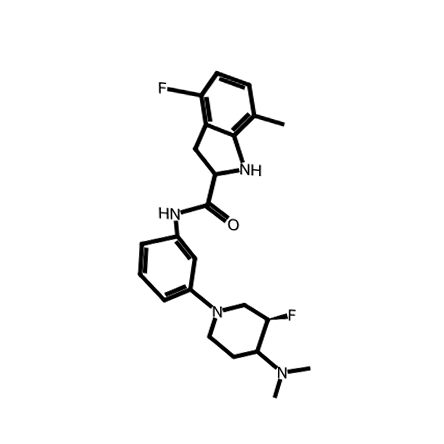 Cc1ccc(F)c2c1NC(C(=O)Nc1cccc(N3CCC(N(C)C)[C@H](F)C3)c1)C2